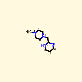 CN1CCN(CC2NCCCN2)CC1